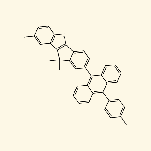 Cc1ccc(-c2c3ccccc3c(-c3ccc4c(c3)C(C)(C)c3c-4oc4ccc(C)cc34)c3ccccc23)cc1